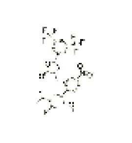 COc1cc(F)c(C(C)C)cc1-c1ccc([N+](=O)[O-])cc1CN1C(=O)O[C@H](c2cc(C(F)(F)F)cc(C(F)(F)F)c2)[C@@H]1C